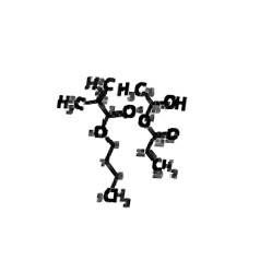 C=C(C)C(=O)OCCCC.C=CC(=O)OC(C)O